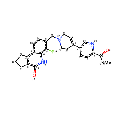 CNC(=O)c1ccc(C2=CCN(Cc3ccc4c5c(c(=O)[nH]c4c3F)CCC5)CC2)cn1